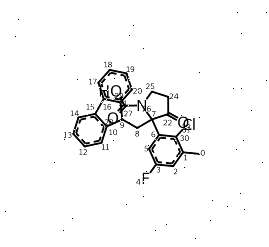 Cc1cc(F)cc(C2(CC3c4ccccc4-c4ccccc43)C(=O)CCN2C(=O)O)c1Cl